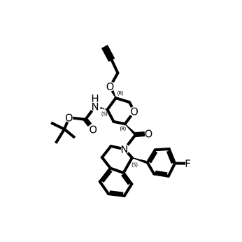 C#CCO[C@H]1CO[C@@H](C(=O)N2CCc3ccccc3[C@@H]2c2ccc(F)cc2)C[C@@H]1NC(=O)OC(C)(C)C